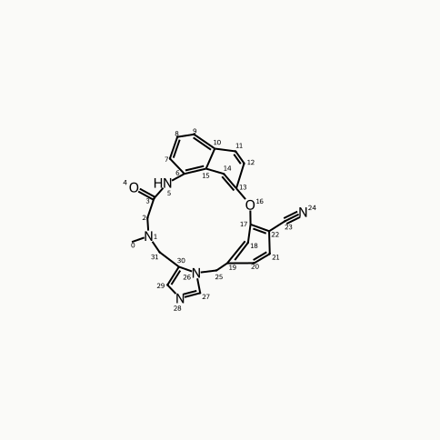 CN1CC(=O)Nc2cccc3ccc(cc23)Oc2cc(ccc2C#N)Cn2cncc2C1